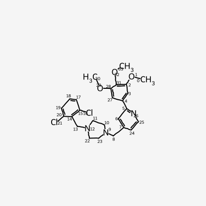 COc1cc(-c2cc(CN3CCN(Cc4c(Cl)cccc4Cl)CC3)ccn2)cc(OC)c1OC